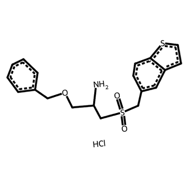 Cl.NC(COCc1ccccc1)CS(=O)(=O)Cc1ccc2sccc2c1